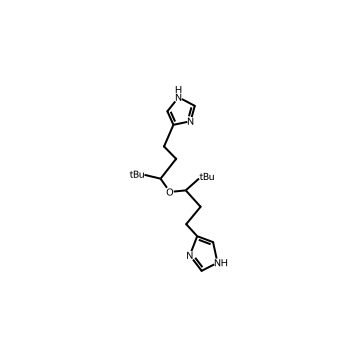 CC(C)(C)C(CCc1c[nH]cn1)OC(CCc1c[nH]cn1)C(C)(C)C